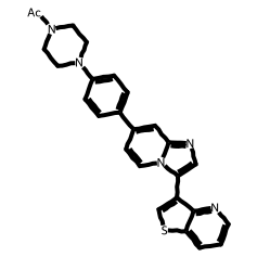 CC(=O)N1CCN(c2ccc(-c3ccn4c(-c5csc6cccnc56)cnc4c3)cc2)CC1